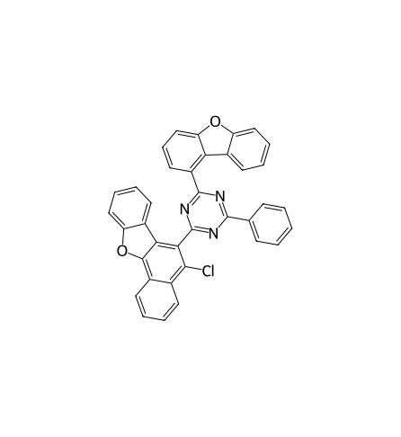 Clc1c(-c2nc(-c3ccccc3)nc(-c3cccc4oc5ccccc5c34)n2)c2c3ccccc3oc2c2ccccc12